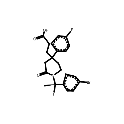 C[C@](I)(c1ccc(Br)cc1)N1CCC(CCC(=O)O)(c2ccc(F)cc2)CC1=O